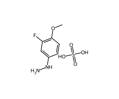 COc1ccc(NN)cc1F.O=S(=O)(O)O